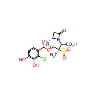 C[C@@H]1CC(=O)N1[C@@H](C(=O)O)[C@](C)(COC(=O)c1ccc(O)c(O)c1Cl)[SH](=O)=O